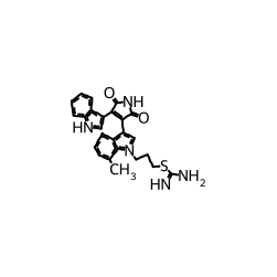 Cc1cccc2c(C3=C(c4c[nH]c5ccccc45)C(=O)NC3=O)cn(CCCSC(=N)N)c12